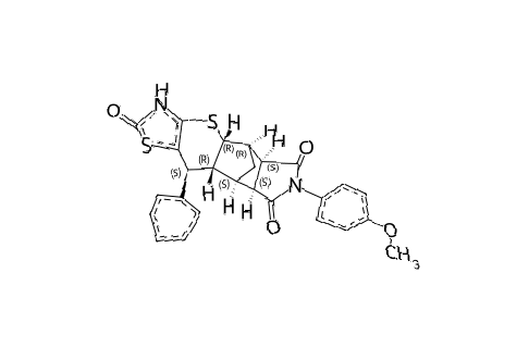 COc1ccc(N2C(=O)[C@@H]3[C@H]4C[C@@H]([C@@H]3C2=O)[C@@H]2[C@@H](c3ccccc3)c3sc(=O)[nH]c3S[C@H]42)cc1